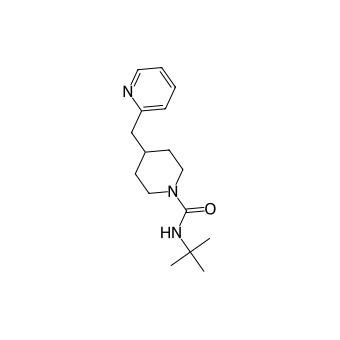 CC(C)(C)NC(=O)N1CCC(Cc2ccccn2)CC1